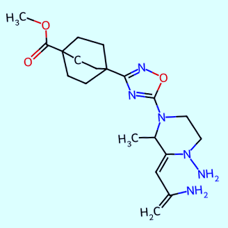 C=C(N)/C=C1/C(C)N(c2nc(C34CCC(C(=O)OC)(CC3)CC4)no2)CCN1N